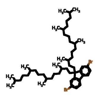 CC(C)CCCC(C)CCCC(C)CCCC(C)CCC1(CCC(C)CCCC(C)CCCC(C)CCCC(C)C)c2cc(Br)ccc2-c2ccc(Br)cc21